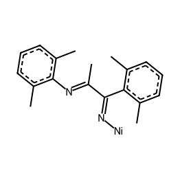 CC(=Nc1c(C)cccc1C)C(=[N][Ni])c1c(C)cccc1C